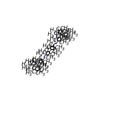 Cc1c(C)c(C)c(N(c2c(C)c(C)c(C)c(C)c2C)c2c(C)c(C)c(/C=C/c3c(C)c(C)c4c(c3C)C(C)(C)c3c(C)c(/C=C/c5c(C)c(C)c(N(c6c(C)c(C)c(C)c(C)c6C)c6c(C)c(C)c(C)c(C)c6C)c(C)c5C)c(C)c(C)c3-4)c(C)c2C)c(C)c1C